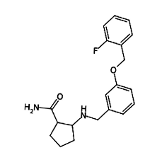 NC(=O)C1CCCC1NCc1cccc(OCc2ccccc2F)c1